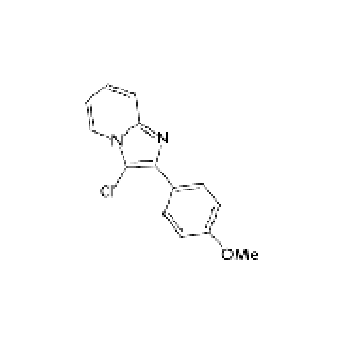 COc1ccc(-c2nc3ccccn3c2Cl)cc1